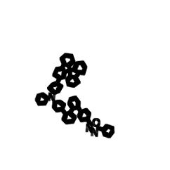 C1=CC(c2nnc(-c3ccc(-c4ccccc4-c4ccccc4-c4ccc(N(c5ccccc5)c5ccc(-c6ccc7c(c6)C6(c8ccccc8-c8ccccc86)c6ccccc6-7)cc5)cc4)cc3)o2)=CCC1